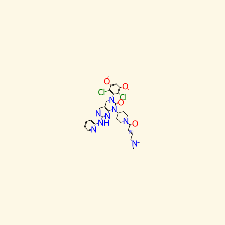 COc1cc(OC)c(Cl)c(N2Cc3cnc(Nc4ccccn4)nc3N(C3CCN(C(=O)/C=C/CN(C)C)CC3)C2=O)c1Cl